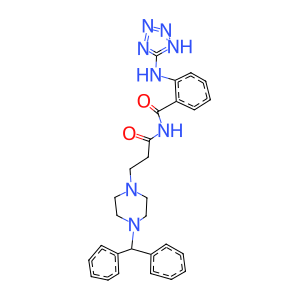 O=C(CCN1CCN(C(c2ccccc2)c2ccccc2)CC1)NC(=O)c1ccccc1Nc1nnn[nH]1